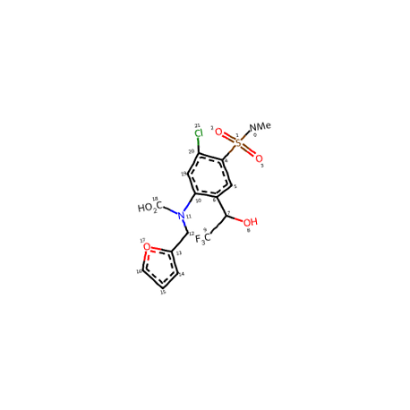 CNS(=O)(=O)c1cc(C(O)C(F)(F)F)c(N(Cc2ccco2)C(=O)O)cc1Cl